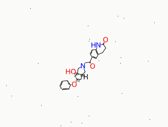 O=C1CCc2cc(C(=O)CN3C[C@H]4C[C@H](Oc5ccccc5)C[C@@]4(O)C3)ccc2N1